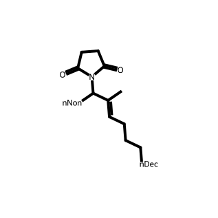 CCCCCCCCCCCCC/C=C(\C)C(CCCCCCCCC)N1C(=O)CCC1=O